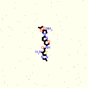 Cc1cnc2c(N)c(C(=O)NC3COc4nc(N5CC(N)C6(C5)OCC(C)O6)ccc4C3)sc2n1